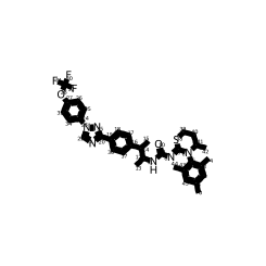 Cc1cc(C)c(N2/C(=N/C(=O)NC(C)C(C)c3ccc(-c4ncn(-c5ccc(OC(F)(F)F)cc5)n4)cc3)SCCC2C)c(C)c1